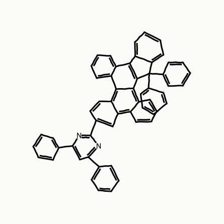 c1ccc(-c2cc(-c3ccccc3)nc(-c3ccc4c(c3)c3ccccc3c3c5c(c6ccccc6c43)-c3ccccc3C5(c3ccccc3)c3ccccc3)n2)cc1